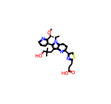 CCn1c(-c2cccnc2[C@H](C)OC)c(CC(C)(C)CO)c2nc(-c3csc(CCC(=O)O)n3)ccc21